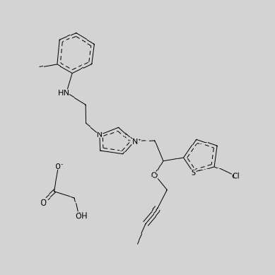 CC#CCOC(C[n+]1ccn(CCNc2ccccc2C)c1)c1ccc(Cl)s1.O=C([O-])CO